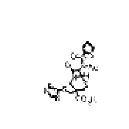 CC(=O)N(C1C(=O)N2CC(CSc3ncns3)(C(=O)O)CS[C@H]12)[S+]([O-])c1cccs1